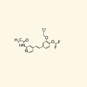 CC(=O)Nc1cc(C=Cc2ccc(OC(F)F)c(OCC3CC3)c2)ccn1